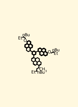 CCCCC(CC)COc1ccc2ccc3c4c(ccc1c24)CCC=3c1cc(C2=CCC3C=CC4=C5C3=C2CCC5CC=C4C(C)CC(CC)CCCC)cc(-c2ccc3ccc4c(OCC(CC)CCCC)ccc5ccc2c3c54)c1